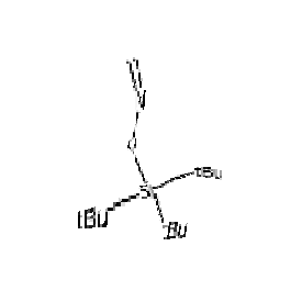 C=NO[Si](C(C)(C)C)(C(C)(C)C)C(C)(C)C